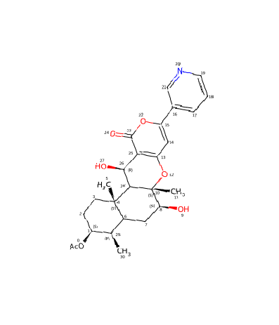 CC(=O)O[C@H]1CC[C@@]2(C)C(C[C@H](O)[C@@]3(C)Oc4cc(-c5cccnc5)oc(=O)c4[C@H](O)C23)[C@H]1C